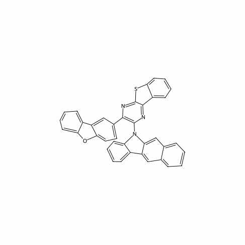 c1ccc2cc3c(cc2c1)c1ccccc1n3-c1nc2c(nc1-c1ccc3oc4ccccc4c3c1)sc1ccccc12